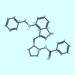 O=C(ON1CCC[C@H]1Cc1c[nH]c2cccc(OCc3ccccc3)c12)c1ccccc1